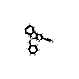 N#Cc1cc2c3ccccc3n(Cc3ccccc3)c2s1